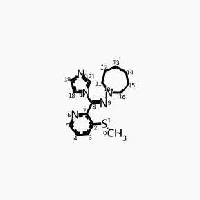 CSc1cccnc1C(=NN1CCCCCC1)n1ccnc1